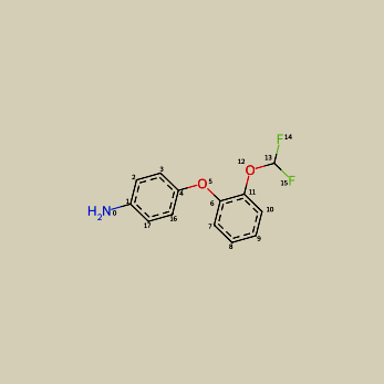 Nc1ccc(Oc2ccccc2OC(F)F)cc1